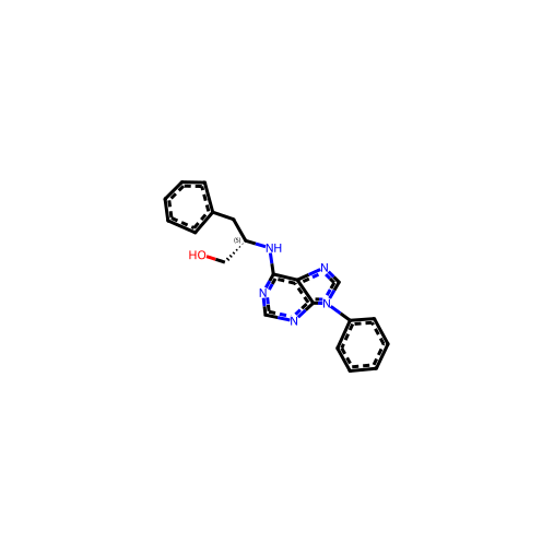 OC[C@H](Cc1ccccc1)Nc1ncnc2c1ncn2-c1ccccc1